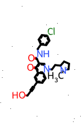 CN1CCCC1CCn1cc(C(=O)NCc2ccc(Cl)cc2)c(=O)c2cc(C#CCO)ccc21